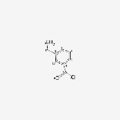 BCc1cccc(C(=O)Cl)c1